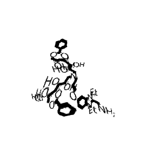 CCn1c(CN)[n+](CC)c2cc(OCCCN(C[C@H](O)[C@@H](O)[C@@H]3OC(c4ccccc4)OC[C@H]3O)C[C@H](O)[C@@H](O)[C@@H]3OC(c4ccccc4)OC[C@H]3O)ccc21.Cl.[Cl-]